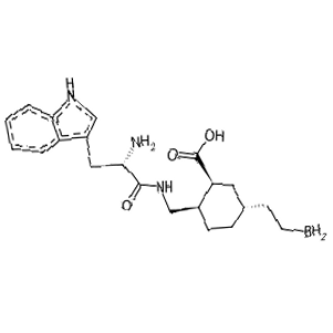 BCC[C@@H]1CC[C@@H](CNC(=O)[C@@H](N)Cc2c[nH]c3ccccc23)[C@@H](C(=O)O)C1